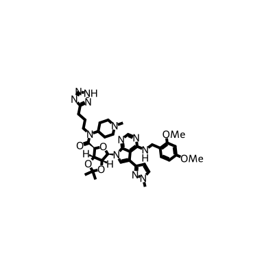 COc1ccc(CNc2ncnc3c2c(-c2ccn(C)n2)cn3[C@@H]2O[C@H](C(=O)N(CCCc3nn[nH]n3)C3CCN(C)CC3)[C@H]3OC(C)(C)O[C@H]32)c(OC)c1